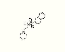 O=S(=O)(NCCN1CCCCC1)c1ccc2ccccc2c1